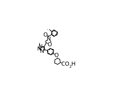 [CH2]c1ccccc1C(=O)N1COC(c2c(-c3ccc(O[C@H]4CCC[C@H](C(=O)O)C4)cc3)nnn2C)C1